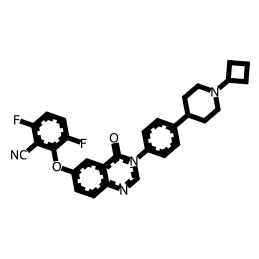 N#Cc1c(F)ccc(F)c1Oc1ccc2ncn(-c3ccc(C4CCN(C5CCC5)CC4)cc3)c(=O)c2c1